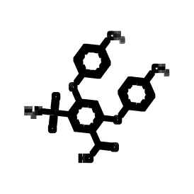 Cc1ccc(Oc2cc(Oc3ccc(C)cc3)c(S(N)(=O)=O)cc2C(=O)O)cc1